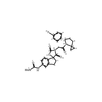 CNC(=O)Nc1ccc2c(c1)CCC21OC(=O)N(CC(=O)N2[C@H](c3ccc(F)cc3)CCC23CC3)C1=O